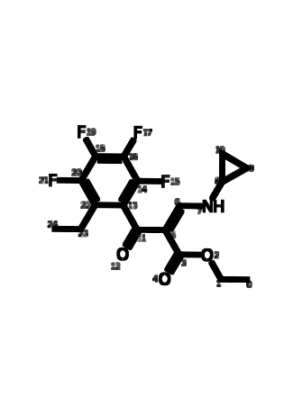 CCOC(=O)C(=CNC1CC1)C(=O)c1c(F)c(F)c(F)c(F)c1CC